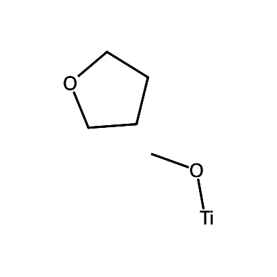 C1CCOC1.C[O][Ti]